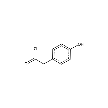 O=C(Cl)Cc1ccc(O)cc1